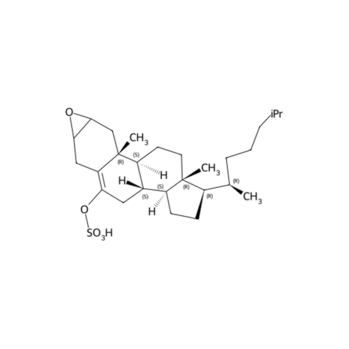 CC(C)CCC[C@@H](C)[C@H]1CC[C@H]2[C@@H]3CC(OS(=O)(=O)O)=C4CC5OC5C[C@]4(C)[C@H]3CC[C@]12C